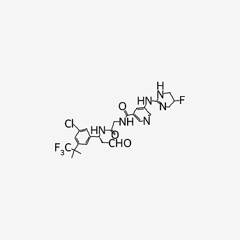 CC(C)(c1cc(Cl)cc([C@H](CC=O)NC(=O)CNC(=O)c2cncc(NC3=NCC(F)CN3)c2)c1)C(F)(F)F